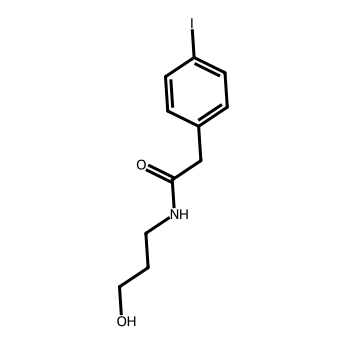 O=C(Cc1ccc(I)cc1)NCCCO